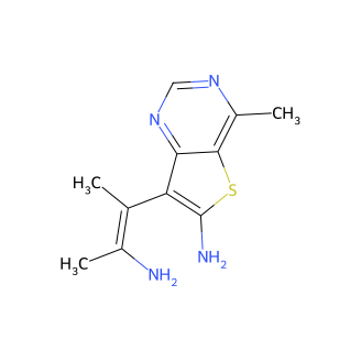 C/C(N)=C(\C)c1c(N)sc2c(C)ncnc12